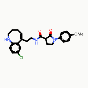 COc1ccc(N2CCC(C(=O)NCC/C3=C/CCCNc4ccc(Cl)cc43)C2=O)cc1